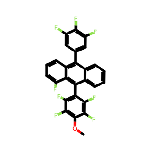 COc1c(F)c(F)c(-c2c3ccccc3c(-c3cc(F)c(F)c(F)c3)c3cccc(F)c23)c(F)c1F